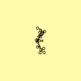 C=C1[C@@H](COP(=O)(O)OCCSC(=O)C(C)(C)COC(c2ccccc2)(c2ccccc2)c2ccccc2)O[C@@H](n2ccc(=O)n(COCc3ccccc3)c2=O)[C@H]1C